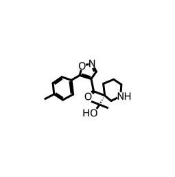 Cc1ccc(-c2oncc2C(=O)[C@@]2(C(C)(C)O)CCCNC2)cc1